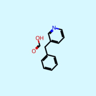 O=CO.c1ccc(Cc2cccnc2)cc1